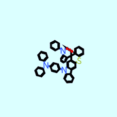 c1ccc(N(c2ccccc2)c2ccc(-n3c4ccccc4c4cc5c(cc43)C3(c4ccccc4S5)c4ccccc4N(c4ccccc4)c4ccccc43)cc2)cc1